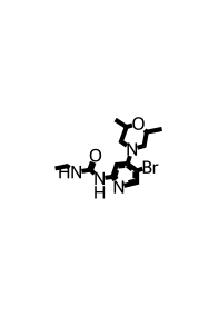 CCNC(=O)Nc1cc(N2CC(C)OC(C)C2)c(Br)cn1